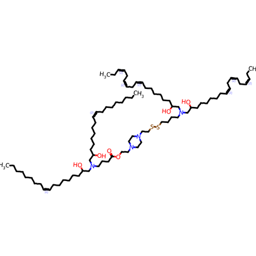 CC/C=C\C/C=C\C/C=C\CCCCCCC(O)CN(CCCCSSCCN1CCN(CCOC(=O)CCCN(CC(O)CCCCCC/C=C\CCCCCCCC)CC(O)CCCCCC/C=C\CCCCCCCC)CC1)CC(O)CCCCCC/C=C\C/C=C\C/C=C\CC